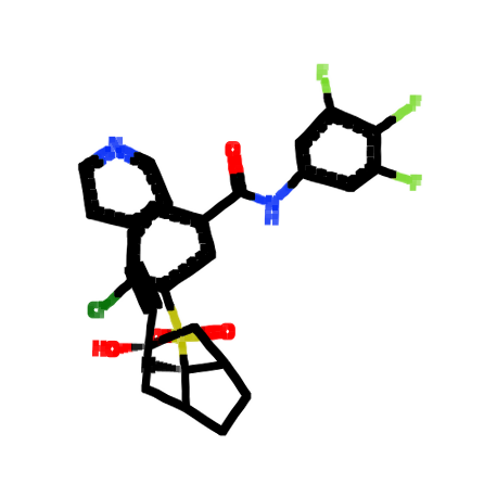 O=C(Nc1cc(F)c(F)c(F)c1)c1ccc(Cl)c(S(=O)(=O)[C@H]2C3CCC2C[C@@](O)(C#Cc2ccncc2)C3)c1